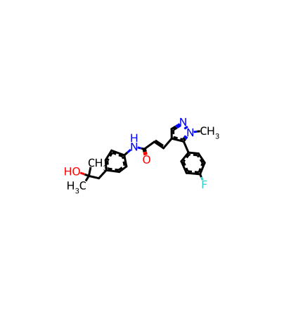 Cn1ncc(C=CC(=O)Nc2ccc(CC(C)(C)O)cc2)c1-c1ccc(F)cc1